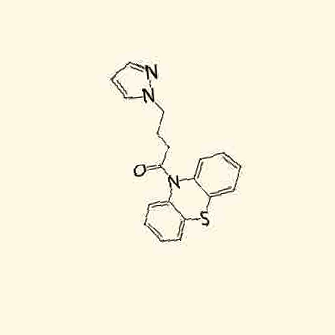 O=C(CCCn1cccn1)N1c2ccccc2Sc2ccccc21